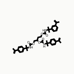 C=C(C)c1ccc(C(C)(C)NC(=O)OCC(CCOC(=O)NC(C)(C)c2cccc(C(=C)C)c2)OC(=O)NC(C)(C)c2ccc(C(=C)C)cc2)cc1